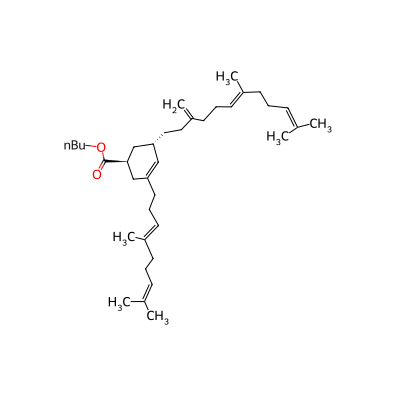 C=C(CC/C=C(\C)CCC=C(C)C)CC[C@@H]1C=C(CC/C=C(\C)CCC=C(C)C)C[C@@H](C(=O)OCCCC)C1